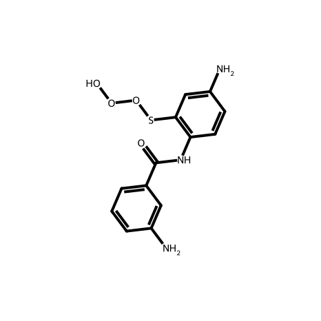 Nc1cccc(C(=O)Nc2ccc(N)cc2SOOO)c1